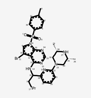 Cc1ccc(S(=O)(=O)n2cc(Br)c3c(NC(CC(C)C)c4cccc(N5C[C@@H](C)N[C@@H](C)C5)n4)ncnc32)cc1